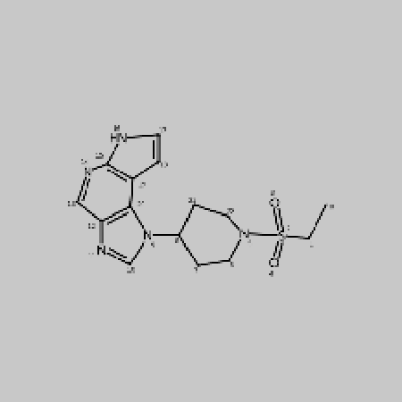 CCS(=O)(=O)N1CCC(n2cnc3cnc4[nH]ccc4c32)CC1